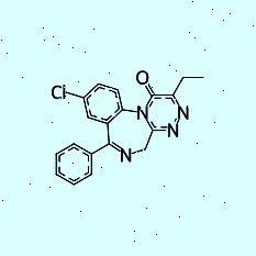 CCc1nnc2n(c1=O)-c1ccc(Cl)cc1C(c1ccccc1)=NC2